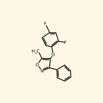 Cc1onc(-c2ccccc2)c1Oc1ccc(F)cc1F